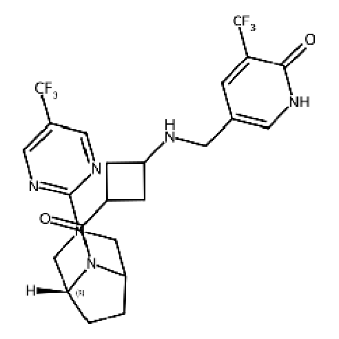 O=C(C1CC(NCc2c[nH]c(=O)c(C(F)(F)F)c2)C1)N1C2CC[C@@H]1CN(c1ncc(C(F)(F)F)cn1)C2